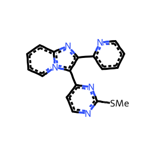 CSc1nccc(-c2c(-c3ccccn3)nc3ccccn23)n1